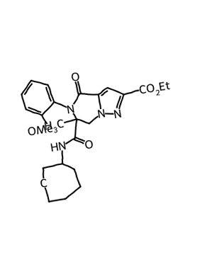 CCOC(=O)c1cc2n(n1)CC(C)(C(=O)NC1CCCCCC1)N(c1ccccc1OC)C2=O